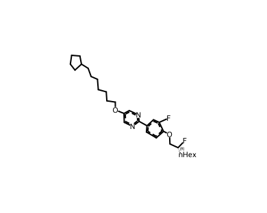 CCCCCC[C@@H](F)COc1ccc(-c2ncc(OCCCCCCCC3CCCC3)cn2)cc1F